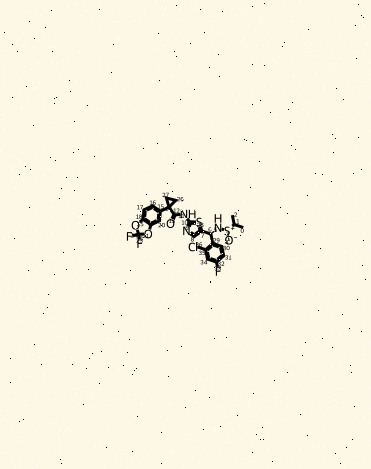 CC(C)[S@+]([O-])N[C@@H](c1cnc(NC(=O)C2(c3ccc4c(c3)OC(F)(F)O4)CC2)s1)c1ccc(F)cc1Cl